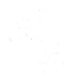 CC(=O)O[C@H]1C(=O)N(CCN(C)C)c2ccc(COC(c3ccccc3)(c3ccccc3)c3ccccc3)cc2S[C@H]1c1ccc(C)cc1